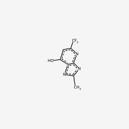 Cc1nc2nc(C(F)(F)F)cc(O)n2n1